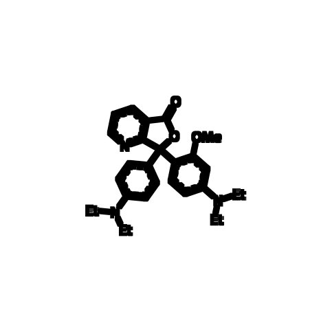 CCN(CC)c1ccc(C2(c3ccc(N(CC)CC)cc3OC)OC(=O)c3cccnc32)cc1